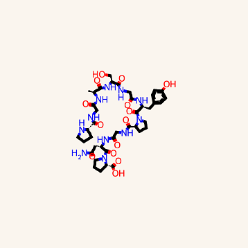 C[C@H](NC(=O)CNC(=O)[C@@H]1CCCN1)C(=O)N[C@@H](CO)C(=O)NCC(=O)N[C@@H](Cc1ccc(O)cc1)C(=O)N1CCC[C@H]1C(=O)NCC(=O)N[C@@H](CC(N)=O)C(=O)N1CCC[C@H]1C(=O)O